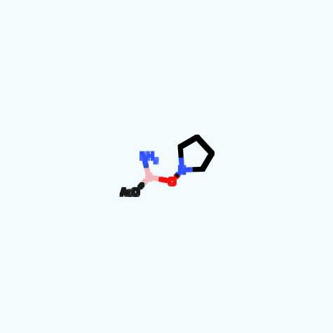 CC(=O)OB(N)ON1CCCC1